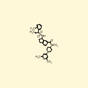 C=CC(c1ccccc1C(F)(F)F)S(=O)(=O)NC1CCc2ccc(C(=O)N(C)C3CCN(c4cc(C)nc(C)c4)CC3)cc21